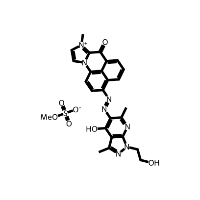 COS(=O)(=O)[O-].Cc1nc2c(c(C)nn2CCO)c(O)c1/N=N/c1ccc2c3c1cccc3c(=O)c1n2cc[n+]1C